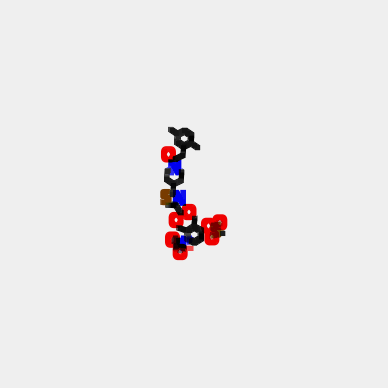 Cc1ccc(C)c(CC(=O)N2CCC(c3nc(C4OCc5c(OS(C)(=O)=O)ccc([N+](=O)[O-])c5CO4)cs3)CC2)c1